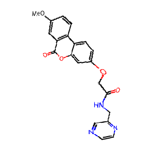 COc1ccc2c(c1)c(=O)oc1cc(OCC(=O)NCc3cnccn3)ccc12